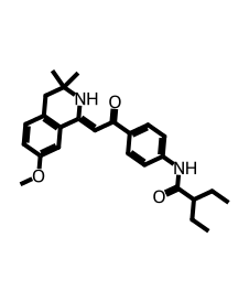 CCC(CC)C(=O)Nc1ccc(C(=O)C=C2NC(C)(C)Cc3ccc(OC)cc32)cc1